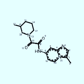 Cc1cnc2cc(NC(=O)C(=O)N3CCCC(C)C3)ccn12